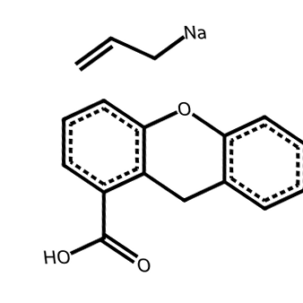 C=C[CH2][Na].O=C(O)c1cccc2c1Cc1ccccc1O2